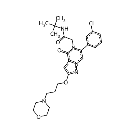 CC(C)(C)NC(=O)Cn1c(-c2cccc(Cl)c2)cn2nc(OCCCN3CCOCC3)cc2c1=O